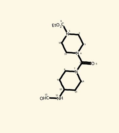 CCOC(=O)N1CCN(C(=O)N2CCC(NC=O)CC2)CC1